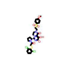 COc1ccc(S(=O)(=O)CCN2CCn3c([C@@H]4CCCN4C(=O)CSc4c(Cl)cccc4Cl)nc(=O)c(O)c3C2=O)cc1